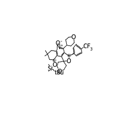 CC1(C)Cc2c(c3c(c(C4CCOCC4)[n+]2[O-])[C@@H](c2ccc(C(F)(F)F)cc2)OC32CCOCC2)[C@@H](O[Si](C)(C)C(C)(C)C)C1